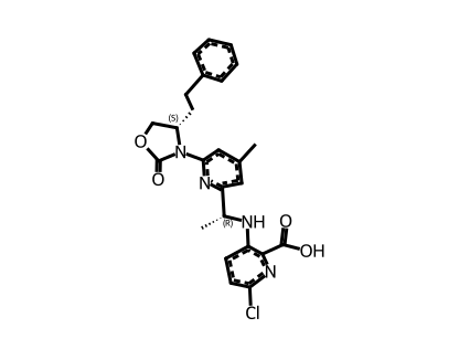 Cc1cc([C@@H](C)Nc2ccc(Cl)nc2C(=O)O)nc(N2C(=O)OC[C@@H]2CCc2ccccc2)c1